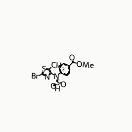 COC(=O)c1ccc(N(c2nc(Br)sc2C)[SH](=O)=O)cc1